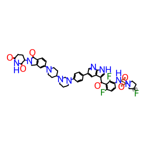 O=C1CCC(N2Cc3cc(N4CCC(N5CCCN(c6ccc(-c7cnc8[nH]cc(C(=O)c9c(F)ccc(NS(=O)(=O)N%10CC[C@@H](F)C%10)c9F)c8c7)cc6)C5)CC4)ccc3C2=O)C(=O)N1